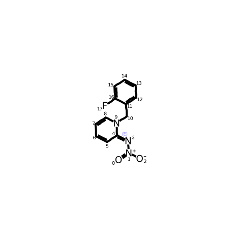 O=[N+]([O-])/N=c1\ccccn1Cc1ccccc1F